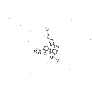 COCCOc1ccc(Nc2cc(Nc3cccc(-c4ncn(C)n4)c3OC)c(C(=O)C3CC3)cn2)nc1